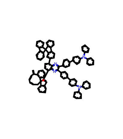 C=C1/C=C\C=C/CC2(c3ccccc31)c1ccccc1-c1ccc(-c3ccc(-c4ccc5c(c4)C4(c6ccccc6-c6ccccc64)c4ccccc4-5)c4nc(-c5ccc(-c6ccc(N(c7ccccc7)c7ccccc7)cc6)cc5)c(-c5ccc(-c6ccc(N(c7ccccc7)c7ccccc7)cc6)cc5)nc34)cc12